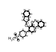 CS(=O)(=O)N1CCN(c2cnn(-c3ccccc3F)c(=O)c2OC2Cc3ccccc3C2)CC1